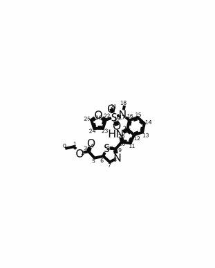 CCOC(=O)CC1CN=C(c2cc3cccc(N(C)S(=O)(=O)c4ccco4)c3[nH]2)S1